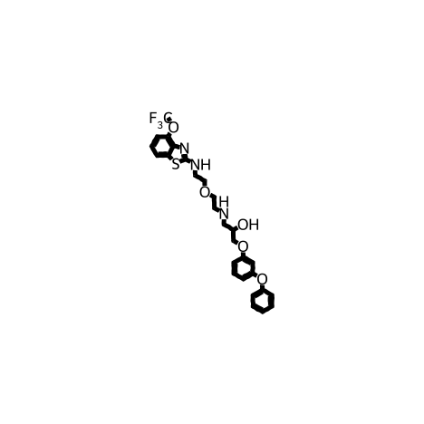 OC(CNCCOCCNc1nc2c(OC(F)(F)F)cccc2s1)COc1cccc(Oc2ccccc2)c1